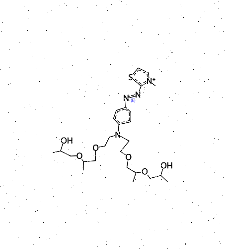 CC(O)COC(C)COCCN(CCOCC(C)OCC(C)O)c1ccc(/N=N/c2scc[n+]2C)cc1